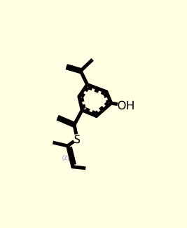 C=C(C)c1cc(O)cc(C(=C)S/C(C)=C\C)c1